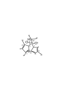 CC1=C[CH]([Ti]([Cl])([Cl])([CH]2C=C(C)C=C2C)[SiH](C)C)C(C)=C1